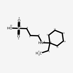 CCC1(NCCCS(=O)(=O)O)CCCCC1